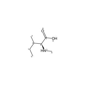 CCC(C)[C@H](NC)C(=O)O